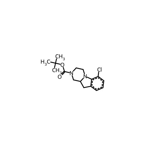 CC(C)(C)OC(=O)N1CCN2c3c(Cl)cccc3CC2C1